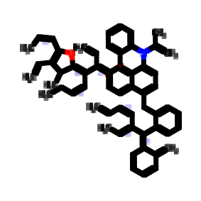 C=C\C=C/C(=C\C)C(/c1ccccc1Cc1ccc(N(C(=C)C)c2ccccc2C/C=C(C=C)/C(/C=C\CC)=C2\OC(/C=C\C)=C(C=C)C2C)c2ccccc12)=c1\ccccc1=C